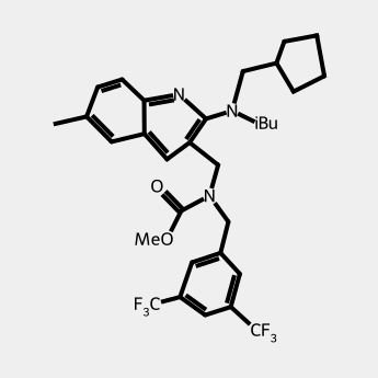 CCC(C)N(CC1CCCC1)c1nc2ccc(C)cc2cc1CN(Cc1cc(C(F)(F)F)cc(C(F)(F)F)c1)C(=O)OC